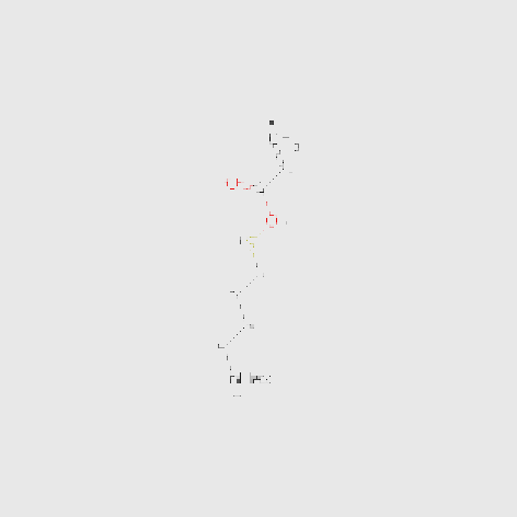 C=CC(=O)OSCCCCCCCCCC